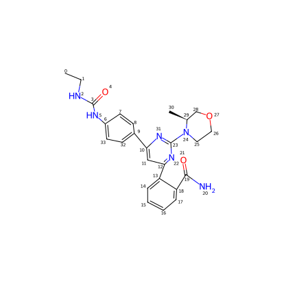 CCNC(=O)Nc1ccc(-c2cc(-c3ccccc3C(N)=O)nc(N3CCOC[C@@H]3C)n2)cc1